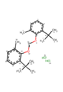 Cc1cccc(C(C)(C)C)c1[O][Ti][O]c1c(C)cccc1C(C)(C)C.Cl.Cl